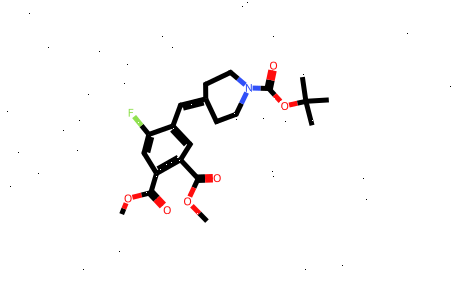 COC(=O)c1cc(F)c(C=C2CCN(C(=O)OC(C)(C)C)CC2)cc1C(=O)OC